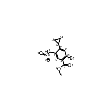 COC(=O)c1cc(C[SH](=O)=O)c(C2CC2)cc1Br